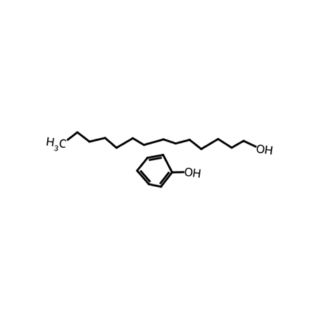 CCCCCCCCCCCCCCO.Oc1ccccc1